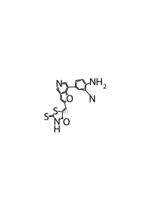 N#Cc1cc(-c2cncc3cc(/C=C4\SC(=S)NC4=O)oc23)ccc1N